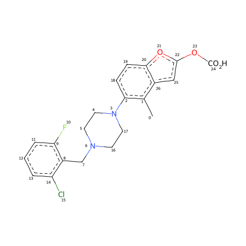 Cc1c(N2CCN(Cc3c(F)cccc3Cl)CC2)ccc2oc(OC(=O)O)cc12